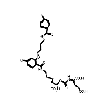 O=C(O)CC[C@H](NC(=O)O[C@@H](CCCCNC(=O)c1ccc(Cl)cc1OCCCCNC(=O)c1ccc(I)cc1)C(=O)O)C(=O)O